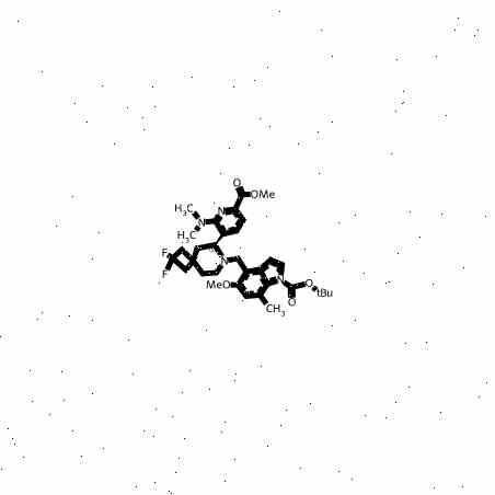 COC(=O)c1ccc([C@@H]2CC3(CCN2Cc2c(OC)cc(C)c4c2ccn4C(=O)OC(C)(C)C)CC(F)(F)C3)c(N(C)C)n1